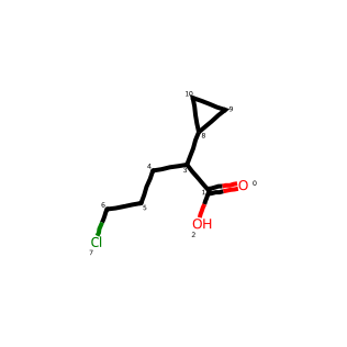 O=C(O)C(CCCCl)C1CC1